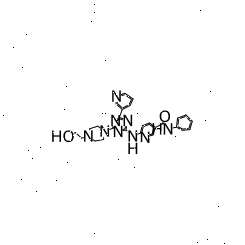 O=C(Nc1ccccc1)c1ccc(Nc2nc(-c3cccnc3)nc(N3CCN(CCO)CC3)n2)nc1